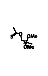 CO[Si](C)(COC(C)=S)OC